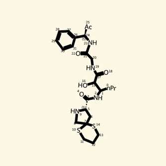 CCCC(NC(=O)[C@@H]1CC2(CN1)SCCCS2)C(O)C(=O)NCC(=O)N[C@H](C(C)=O)c1ccccc1